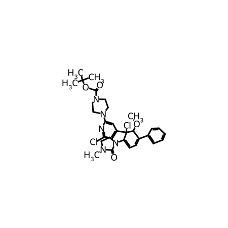 COC1C(c2ccccc2)=CC=C(N2CCN(C)C2=O)C1(Cl)c1cc(Cl)nc(N2CCN(C(=O)OC(C)(C)C)CC2)c1